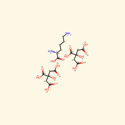 NCCCC[C@H](N)C(=O)O.O=C(O)CC(O)(CC(=O)O)C(=O)O.O=C(O)CC(O)(CC(=O)O)C(=O)O